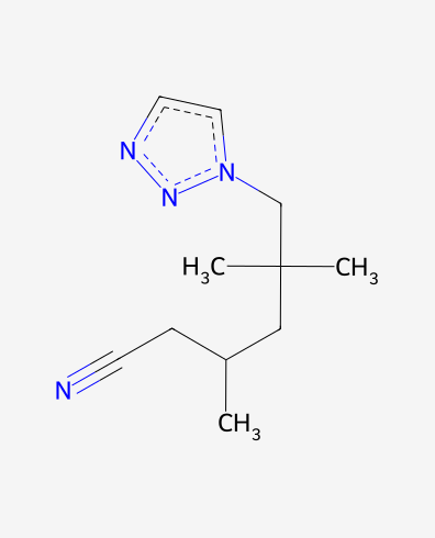 CC(CC#N)CC(C)(C)Cn1ccnn1